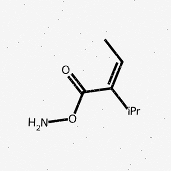 CC=C(C(=O)ON)C(C)C